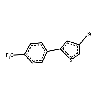 FC(F)(F)c1ccc(-c2cc(Br)cs2)cc1